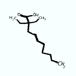 CCCCCCCCC(CC)(CC)C(=O)O